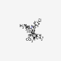 CC1(C)S[C@@H]2[C@@H](NC(=O)/C(=N\O[C@H]3CC[C@@H](Cl)CC3)c3csc(N)n3)C(=O)N2[C@H]1C(=O)O